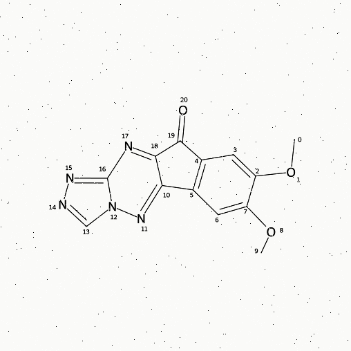 COc1cc2c(cc1OC)-c1nn3cnnc3nc1C2=O